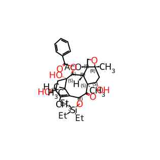 CC[Si](CC)(CC)O[C@H]1C(=O)[C@]2(C)[C@@H](O)C[C@@]3(C)OC[C@@]3(OC(C)=O)[C@H]2[C@H](OC(=O)c2ccccc2)[C@]2(O)C[C@H](O)C(C)=C1C2(C)C